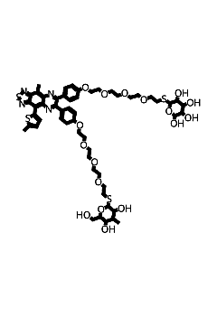 Cc1ccc(-c2c3nsnc3c(C)c3nc(-c4ccc(OCCOCCOCCOCCSC5OC(O)C(O)C(O)C5O)cc4)c(C4=CCC(OCCOCCOCCOCCSC5OC(CO)C(O)C(C)C5O)C=C4)nc23)s1